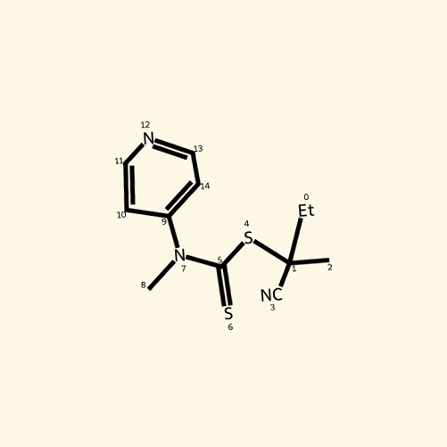 CCC(C)(C#N)SC(=S)N(C)c1ccncc1